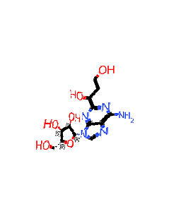 Nc1nc(C(O)CCO)nc2c1ncn2[C@@H]1O[C@H](CO)[C@@H](O)[C@H]1O